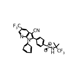 CC(C)(NS(=O)(=O)c1ccc(-c2c(C#N)c3cc(C(F)(F)F)cnc3n2-c2ccccc2)cc1)C(F)(F)F